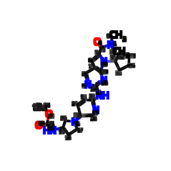 CN(C)C(=O)c1cc2cnc(Nc3ccc(N4CCC(NC(=O)OC(C)(C)C)C4)cn3)nc2n1C1CCCC1